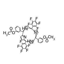 CC(=O)Oc1cccc(-c2c3nc(c(-c4c(F)c(F)c(F)c(F)c4F)c4ccc([nH]4)c(-c4cccc(OC(C)=O)c4)c4nc(c(-c5c(F)c(F)c(F)c(F)c5F)c5ccc2[nH]5)C=C4)C=C3)c1